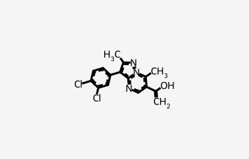 C=C(O)c1cnc2c(-c3ccc(Cl)c(Cl)c3)c(C)nn2c1C